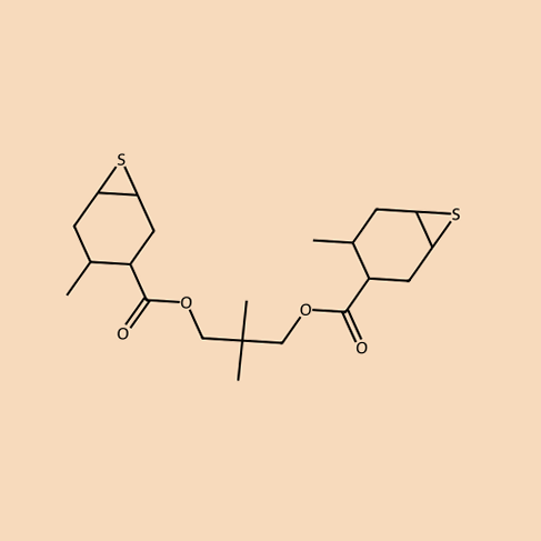 CC1CC2SC2CC1C(=O)OCC(C)(C)COC(=O)C1CC2SC2CC1C